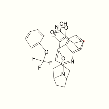 O=C(O)c1cccc2nc(N3C4CCC3CC(OCc3c(-c5ccccc5OC(F)(F)F)noc3C3CC3)C4)ccc12